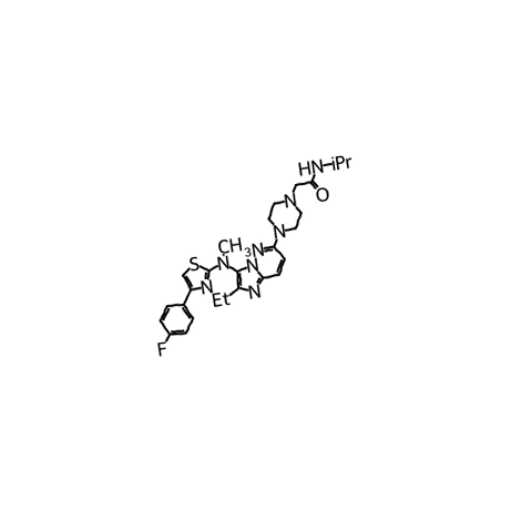 CCc1nc2ccc(N3CCN(CC(=O)NC(C)C)CC3)nn2c1N(C)c1nc(-c2ccc(F)cc2)cs1